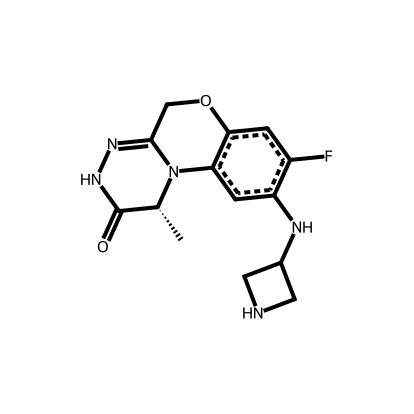 C[C@@H]1C(=O)NN=C2COc3cc(F)c(NC4CNC4)cc3N21